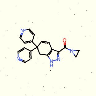 O=C(c1n[nH]c2c1C=CC(c1ccncc1)(c1ccncc1)C2)N1CC1